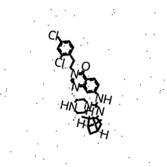 C[C@@H]1CN(/C(=N\C2C[C@H]3C[C@@H]([C@@H]2C)C3(C)C)Nc2ccc3c(=O)n([C@H](C)Cc4ccc(Cl)cc4Cl)cnc3c2)C[C@H](C)N1